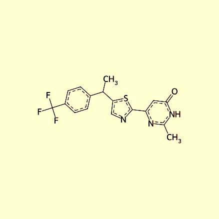 Cc1nc(-c2ncc(C(C)c3ccc(C(F)(F)F)cc3)s2)cc(=O)[nH]1